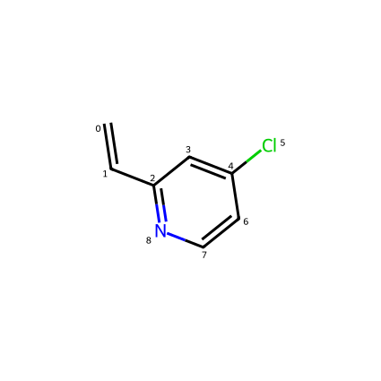 C=Cc1cc(Cl)ccn1